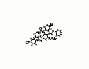 COc1ccc(C2c3[nH]c4c(c3CCN2C(=O)Oc2ccc(Cl)cc2)=CC(Cl)CC=4)cc1OCCN1CCOCC1